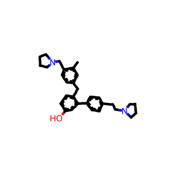 Cc1cc(Cc2ccc(O)cc2-c2ccc(CCN3CCCC3)cc2)ccc1CN1CCCC1